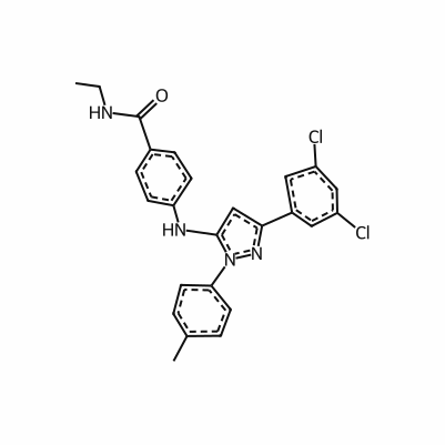 CCNC(=O)c1ccc(Nc2cc(-c3cc(Cl)cc(Cl)c3)nn2-c2ccc(C)cc2)cc1